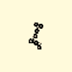 c1ccc2c(c1)oc1cc3c(cc12)c1ccccc1n3-c1ccc(-c2ccc(-n3c4ccccc4c4ccccc43)cc2)cc1